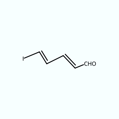 O=C/C=C/C=C/I